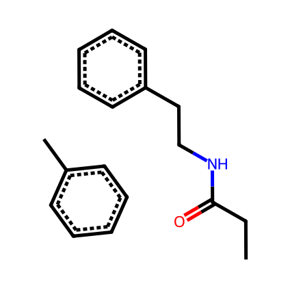 CCC(=O)NCCc1ccccc1.Cc1ccccc1